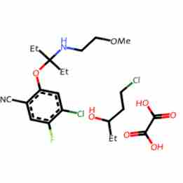 CCC(CC)(NCCOC)Oc1cc(Cl)c(F)cc1C#N.CCC(O)CCCl.O=C(O)C(=O)O